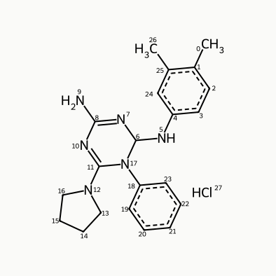 Cc1ccc(NC2N=C(N)N=C(N3CCCC3)N2c2ccccc2)cc1C.Cl